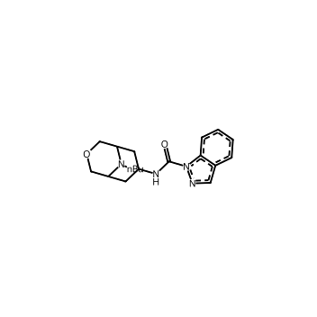 CCCCN1C2COCC1CC(NC(=O)n1ncc3ccccc31)C2